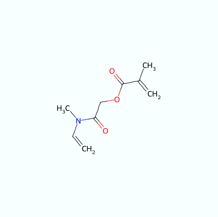 C=CN(C)C(=O)COC(=O)C(=C)C